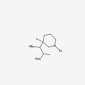 CCCCC(C(C)C=O)C1(I)CCCN(CC)C1